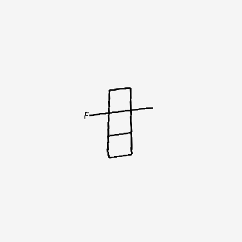 CC12C3C4C5C3C1(F)C5C42